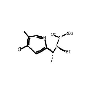 CCN([C@H](C)c1cc(Cl)c(C)cn1)[S+]([O-])C(C)(C)C